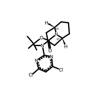 CN(c1nc(Cl)cc(Cl)n1)C1C[C@H]2CCC[C@@H](C1)N2C(=O)OC(C)(C)C